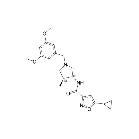 COc1cc(CN2C[C@H](NC(=O)c3cc(C4CC4)on3)[C@@H](C)C2)cc(OC)c1